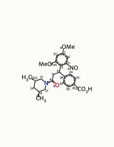 COc1cc(N=O)c(C(CC(=O)N2C[C@H](C)C[C@H](C)C2)c2ccc(C(=O)O)cc2)c(OC)c1